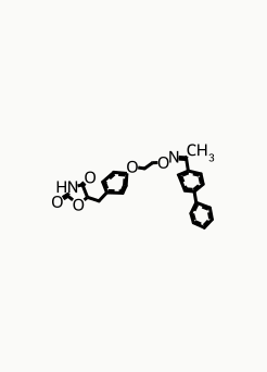 CC(=NOCCOc1ccc(CC2OC(=O)NC2=O)cc1)c1ccc(-c2ccccc2)cc1